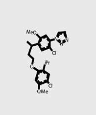 COc1cc(OCCC(C)c2cc(Cl)c(-n3ccnn3)cc2OC)c(C(C)C)cc1Cl